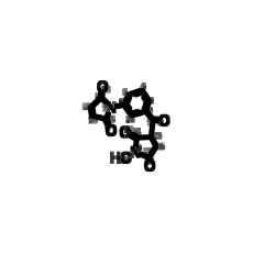 O=C(c1cccc(N2C(=O)C=CC2=O)c1)C1CC(=O)N(O)C1=O